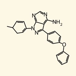 CC1C=CC(n2nc(-c3ccc(Oc4ccccc4)cc3)c3c(N)ncnc32)=CC1